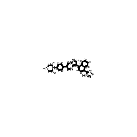 C[C@@H]1CNC[C@H](C)N1c1ccc(-c2cnc3c(-c4ccc(-c5nnn[nH]5)c5ccccc45)cnn3c2)cc1